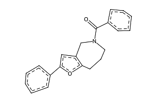 O=C(c1ccccc1)N1CCCc2oc(-c3ccccc3)cc2C1